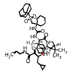 C=CCNC(=O)C(=O)C(CC1CC1)NC(=O)[C@@H]1[C@@H]2[C@H](CN1C(=O)[C@@H](NC(=O)NC1(CS(=O)(=O)C34CC5CC(CC(C5)C3)C4)CCCCC1)C1(C)CCCCC1)C2(C)C